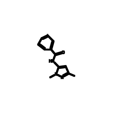 Cc1cc(NC(=O)c2c[c]ccc2)n(C)n1